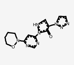 O=c1c(-n2ccnn2)c[nH]n1-c1cc(N2CCCCO2)ncn1